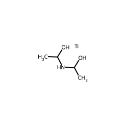 CC(O)NC(C)O.[Ti]